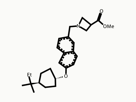 CCC(C)(C)[C@H]1CC[C@H](Oc2ccc3cc(CN4CC(C(=O)OC)C4)ccc3c2)CC1